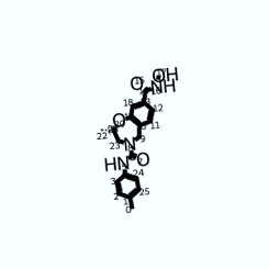 Cc1ccc(NC(=O)N2Cc3ccc(C(=O)NO)cc3O[C@@H](C)C2)cc1